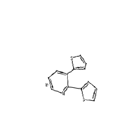 [Ir].c1csc(-c2cccnc2-c2cccs2)c1